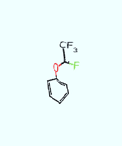 F[C](Oc1ccccc1)C(F)(F)F